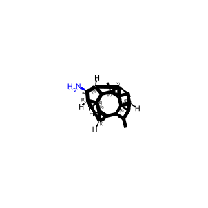 CC1C2C3[C@@H]4[C@@H]3[C@H]3[C@@H](N)[C@@H]5C([C@H]43)[C@@]3(C)C46C([C@H]7C1[C@]274)[C@@]563